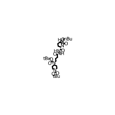 CCCCON1C(=O)N2C[C@@H]1CC[C@H]2C(=O)NNC(=O)CCCN(C(=O)OC(C)(C)C)C1CCN(C(=O)OC(C)(C)C)CC1